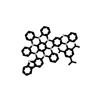 CC(C)c1cc(C(C)C)c(B2c3ccccc3Sc3cc4c(cc32)B2c3ccccc3N3c5ccc6c(oc7ccccc76)c5B5c6ccccc6N6c7ccccc7B7c8ccccc8N4c4c7c6c5c3c42)c(C(C)C)c1